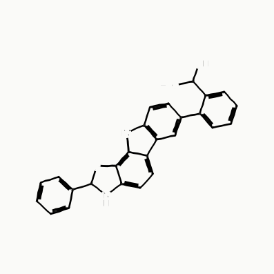 CC(C)c1ccccc1-c1ccc2[nH]c3c4c(ccc3c2c1)NC(c1ccccc1)S4